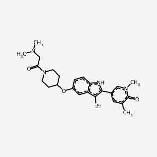 Cc1cc(-c2[nH]c3ccc(OC4CCN(C(=O)CN(C)C)CC4)cc3c2C(C)C)cn(C)c1=O